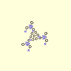 N#Cc1cccc(-c2nc(-c3ccccc3)nc(-c3ccc(-c4ccc(-c5ccccc5-c5cc(-c6ccccc6-c6ccc(-c7ccc(-c8nc(-c9ccccc9)nc(-c9cccc(C#N)c9)n8)cn7)cc6)cc(-c6ccccc6-c6ccc(-c7ccc(-c8nc(-c9ccccc9)nc(-c9cccc(C#N)c9)n8)cn7)cc6)c5)cc4)nc3)n2)c1